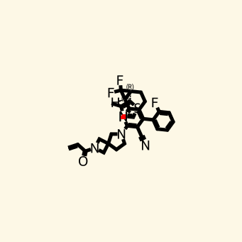 C=CC(=O)N1CC2(CCN(c3nc4c(c(-c5ccccc5F)c3C#N)CC[C@@]3(c5scnc5C)[C@@H]4C3(F)F)C2)C1